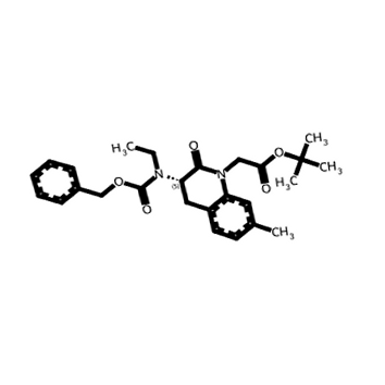 CCN(C(=O)OCc1ccccc1)[C@H]1Cc2ccc(C)cc2N(CC(=O)OC(C)(C)C)C1=O